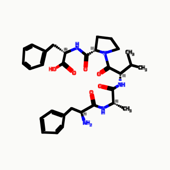 CC(C)[C@H](NC(=O)[C@H](C)NC(=O)[C@@H](N)Cc1ccccc1)C(=O)N1CCC[C@H]1C(=O)N[C@@H](Cc1ccccc1)C(=O)O